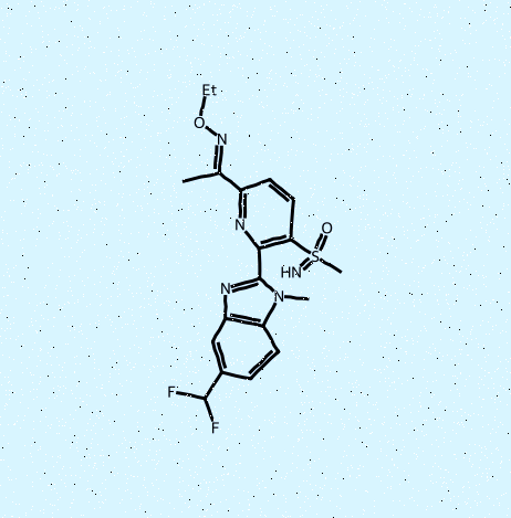 CCO/N=C(\C)c1ccc(S(C)(=N)=O)c(-c2nc3cc(C(F)F)ccc3n2C)n1